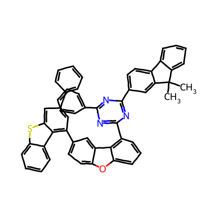 CC1(C)c2ccccc2-c2ccc(-c3nc(-c4ccccc4)nc(-c4cccc5oc6ccc(-c7cc(-c8ccccc8)cc8sc9ccccc9c78)cc6c45)n3)cc21